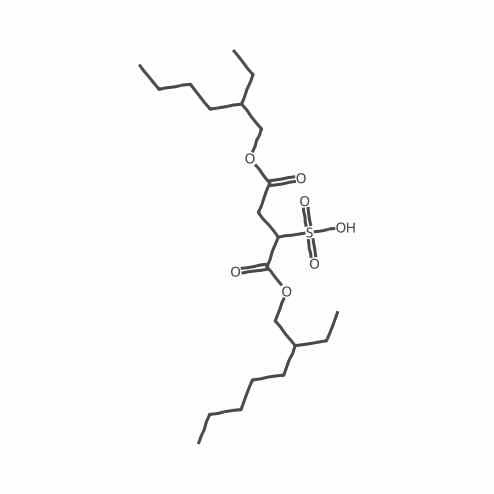 CCCCCC(CC)COC(=O)C(CC(=O)OCC(CC)CCCC)S(=O)(=O)O